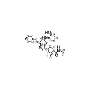 Cc1cc(-c2cnn3c(NCC4CCOCC4)cc(N[C@@H]4CCCC[C@H]4O)nc23)ccc1C(=O)NC1CC1